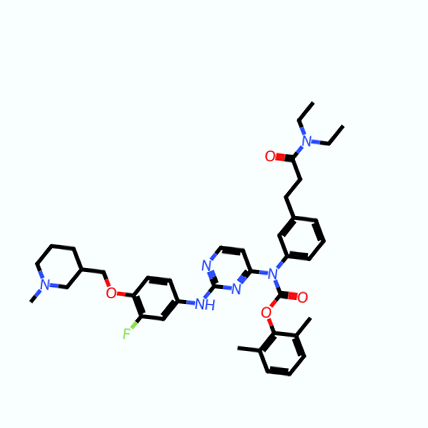 CCN(CC)C(=O)CCc1cccc(N(C(=O)Oc2c(C)cccc2C)c2ccnc(Nc3ccc(OCC4CCCN(C)C4)c(F)c3)n2)c1